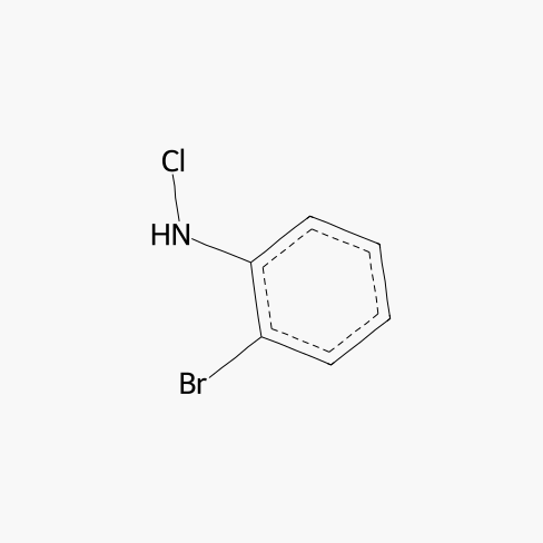 ClNc1ccccc1Br